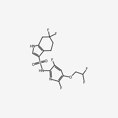 O=S(=O)(Nc1nc(F)c(OCC(F)F)cc1F)c1c[nH]c2c1CCC(F)(F)C2